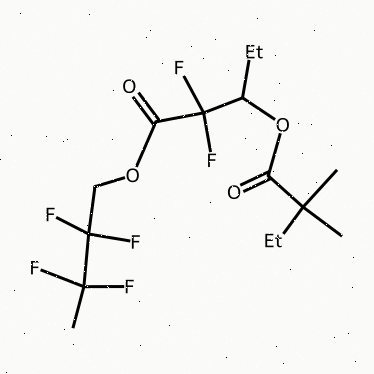 CCC(OC(=O)C(C)(C)CC)C(F)(F)C(=O)OCC(F)(F)C(C)(F)F